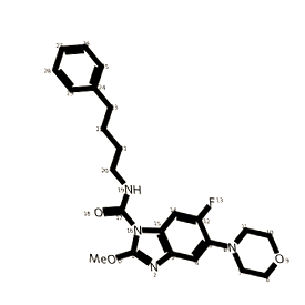 COc1nc2cc(N3CCOCC3)c(F)cc2n1C(=O)NCCCCc1ccccc1